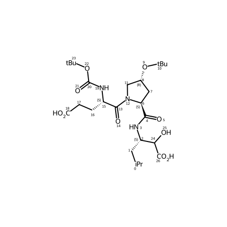 CC(C)C[C@H](NC(=O)[C@@H]1C[C@@H](OC(C)(C)C)CN1C(=O)[C@H](CCC(=O)O)NC(=O)OC(C)(C)C)C(O)C(=O)O